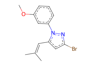 COc1cccc(-n2nc(Br)cc2C=C(C)C)c1